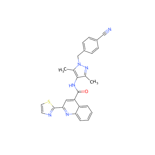 Cc1nn(Cc2ccc(C#N)cc2)c(C)c1NC(=O)c1cc(-c2nccs2)nc2ccccc12